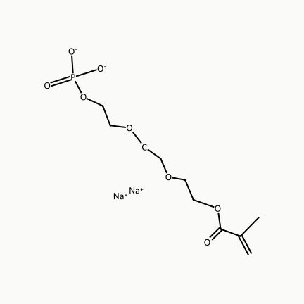 C=C(C)C(=O)OCCOCCOCCOP(=O)([O-])[O-].[Na+].[Na+]